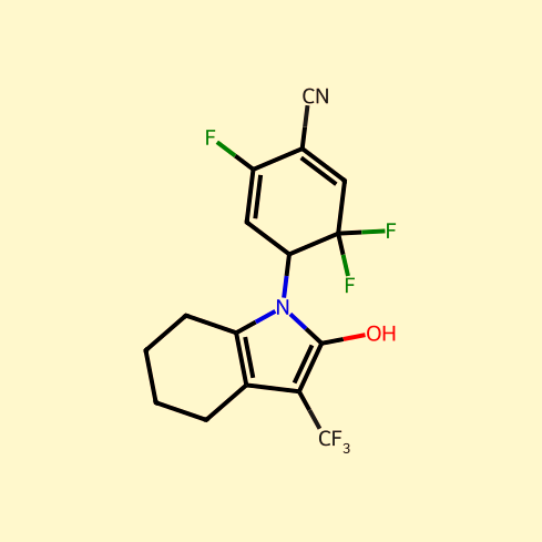 N#CC1=CC(F)(F)C(n2c(O)c(C(F)(F)F)c3c2CCCC3)C=C1F